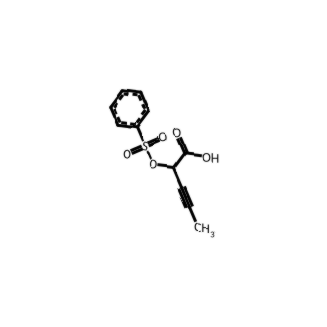 CC#CC(OS(=O)(=O)c1ccccc1)C(=O)O